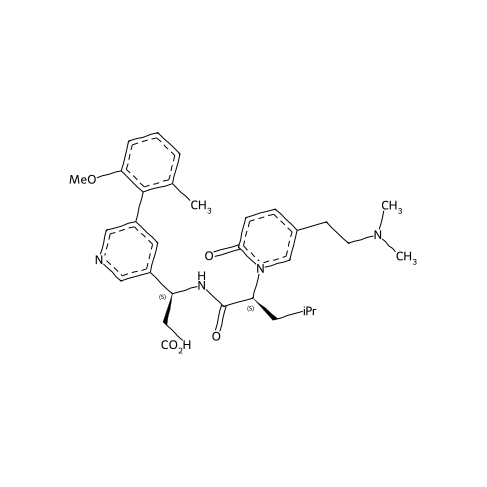 COc1cccc(C)c1-c1cncc([C@H](CC(=O)O)NC(=O)[C@H](CC(C)C)n2cc(CCN(C)C)ccc2=O)c1